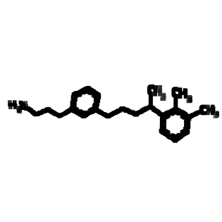 Cc1cccc(C(C)CCCc2cccc(CCCN)c2)c1C